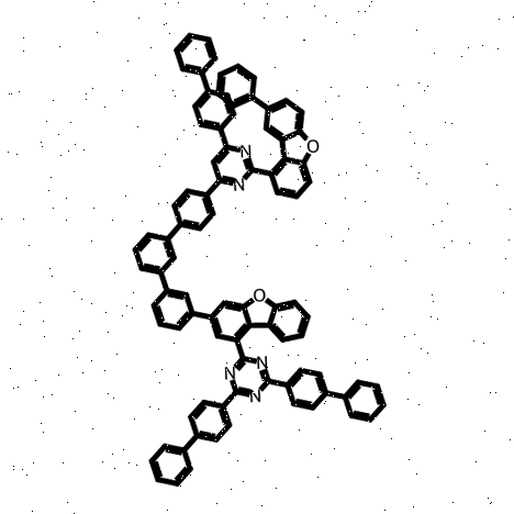 c1ccc(-c2ccc(-c3cc(-c4ccc(-c5cccc(-c6cccc(-c7cc(-c8nc(-c9ccc(-c%10ccccc%10)cc9)nc(-c9ccc(-c%10ccccc%10)cc9)n8)c8c(c7)oc7ccccc78)c6)c5)cc4)nc(-c4cccc5oc6ccc(-c7ccccc7)cc6c45)n3)cc2)cc1